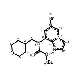 CC(C)(C)OC(=O)N(CC1CCOCC1)c1cc(Br)cn2ccnc12